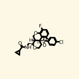 O=C(NC[C@@H]1OCC[C@@]2(S(=O)(=O)c3ccc(Cl)cc3)c3c(F)ccc(F)c3OC[C@@H]12)C1CC1